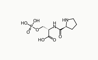 O=C(O)[C@H](COP(=O)(O)O)NC(=O)[C@@H]1CCCN1